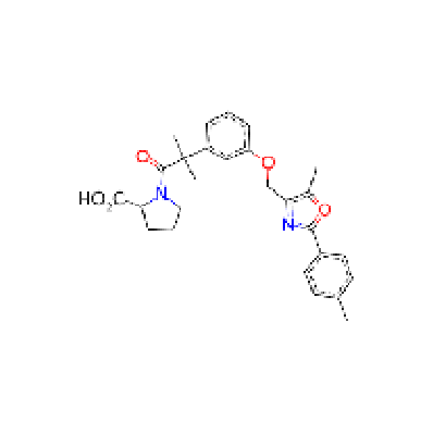 Cc1ccc(-c2nc(COc3cccc(C(C)(C)C(=O)N4CCCC4C(=O)O)c3)c(C)o2)cc1